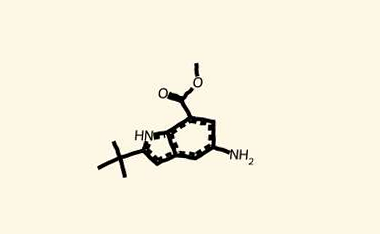 COC(=O)c1cc(N)cc2cc(C(C)(C)C)[nH]c12